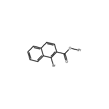 CC(C)OC(=O)c1ccc2ccccc2c1Br